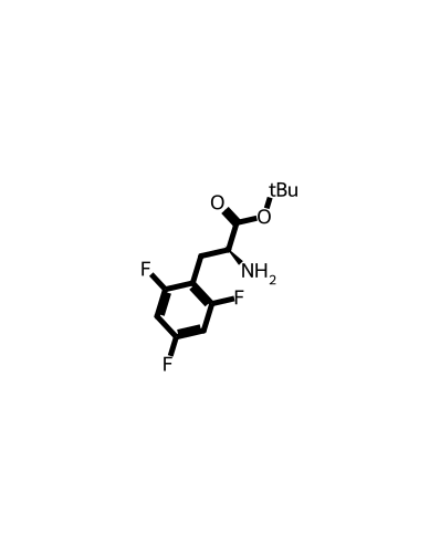 CC(C)(C)OC(=O)[C@@H](N)Cc1c(F)cc(F)cc1F